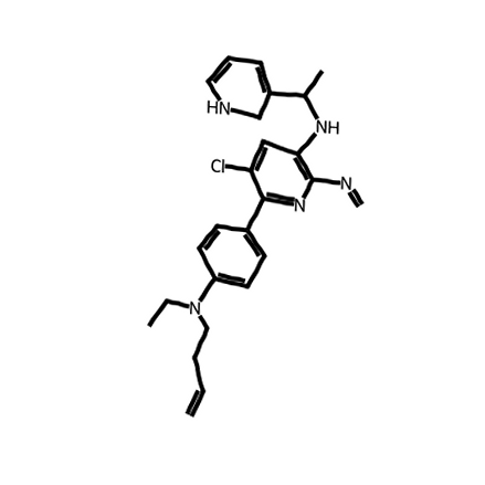 C=CCCN(CC)c1ccc(-c2nc(N=C)c(NC(C)C3=CC=CNC3)cc2Cl)cc1